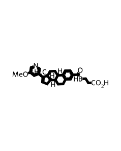 COc1cncc(C2=CC[C@H]3[C@@H]4CCc5cc(C(=O)BCCC(=O)O)ccc5[C@H]4CC[C@]23C)c1